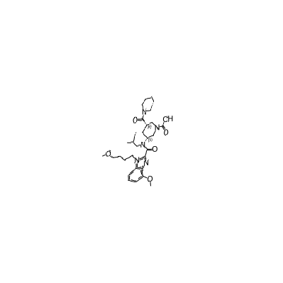 COCCCCn1c(C(=O)N(CC(C)C)[C@H]2C[C@@H](C(=O)N3CCCCC3)CN(C(=O)O)C2)nc2c(OC)cccc21